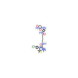 Cc1sc2c(c1C)C(c1ccc(Cl)cc1)=N[C@@H](CC(=O)NCCCCCCCC(=O)Nc1ccc3ncn(C4CCC(=O)NC4=O)c3c1)c1nnc(C)n1-2